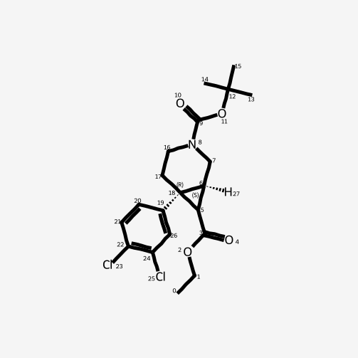 CCOC(=O)C1[C@@H]2CN(C(=O)OC(C)(C)C)CC[C@]12c1ccc(Cl)c(Cl)c1